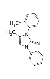 Cc1ccccc1-n1c(C)cn2c3ccccc3nc12